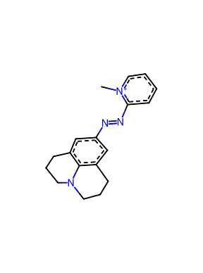 C[n+]1ccccc1/N=N/c1cc2c3c(c1)CCCN3CCC2